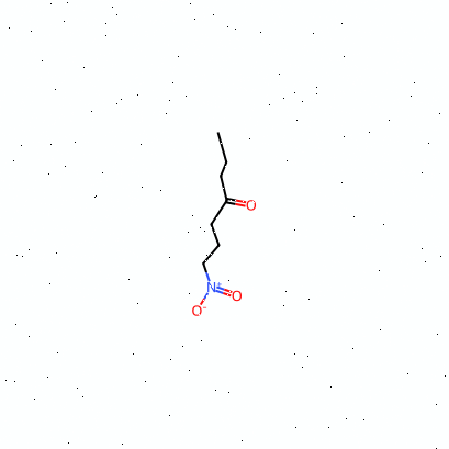 CCCC(=O)CCC[N+](=O)[O-]